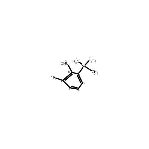 C[Si](C)(C)c1cccc(F)c1C=O